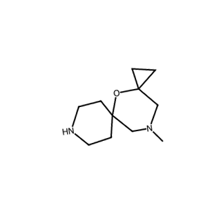 CN1CC2(CCNCC2)OC2(CC2)C1